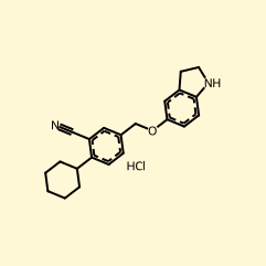 Cl.N#Cc1cc(COc2ccc3c(c2)CCN3)ccc1C1CCCCC1